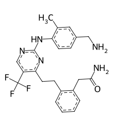 Cc1cc(CN)ccc1Nc1ncc(C(F)(F)F)c(CCc2ccccc2CC(N)=O)n1